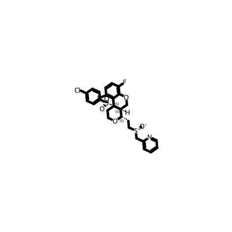 O=S(=O)(c1ccc(Cl)cc1)[C@@]12CCO[C@@H](CC[S+]([O-])Cc3ccccn3)[C@@H]1COc1c(F)ccc(F)c12